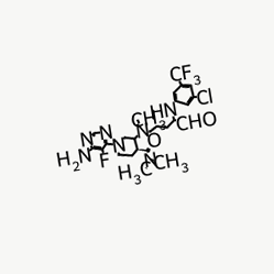 CN(C)C(=O)[C@H]1CCN(c2ncnc(N)c2F)CC1N(C)CCCC(C=O)Nc1cc(Cl)cc(C(F)(F)F)c1